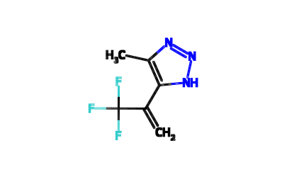 C=C(c1[nH]nnc1C)C(F)(F)F